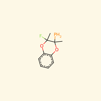 CC1(F)Oc2ccccc2OC1(C)P